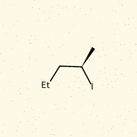 CCC[C@@H](C)I